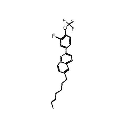 CCCCCCCc1ccc2cc(-c3ccc(OC(F)(F)F)c(F)c3)ccc2c1